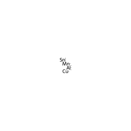 [Al].[Cu].[Mn].[Sn]